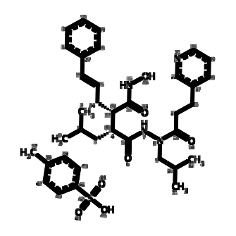 CC(C)C[C@@H](C(=O)NN(CC(C)C)C(=O)CCc1cccnc1)[C@H](CC=Cc1ccccc1)C(=O)NO.Cc1ccc(S(=O)(=O)O)cc1